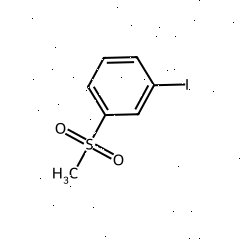 CS(=O)(=O)c1cccc(I)c1